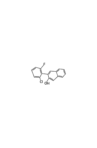 Oc1cc2ccccc2cc1-c1c(F)cccc1Cl